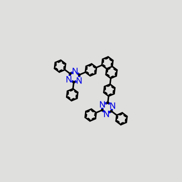 c1ccc(-c2nc(-c3ccccc3)nc(-c3ccc(-c4ccc5cccc(-c6ccc(-c7nc(-c8ccccc8)nc(-c8ccccc8)n7)cc6)c5c4)cc3)n2)cc1